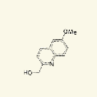 COc1ccc2nc(CO)ccc2c1